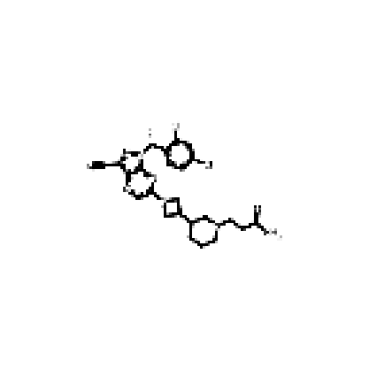 C[C@H](c1ccc(Cl)cc1Cl)n1nc(C#N)c2ncc(N3CC(C4CCCN(CCC(N)=O)C4)C3)nc21